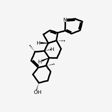 C[C@H]1C=C2C[C@@H](O)CC[C@]2(C)[C@H]2CC[C@]3(C)C(c4ccccn4)=CC[C@H]3[C@H]12